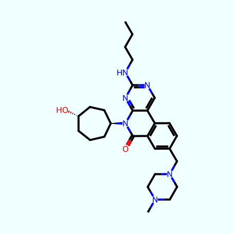 CCCCNc1ncc2c3ccc(CN4CCN(C)CC4)cc3c(=O)n([C@H]3CCC[C@H](O)CC3)c2n1